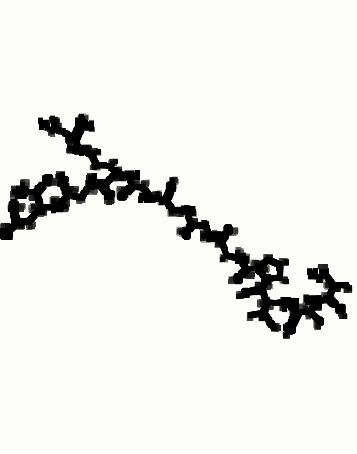 CC(C)[C@H](NC(=O)[C@H](C)NC(=O)[C@H](C)N)C(=O)N1CCC[C@H]1C(=O)NCC(=O)NCC(=O)NCC(=O)NCC(=O)N[C@@H](CCCNC(=N)N)C(=O)NCC(=O)N[C@@H](CC(=O)O)C(=O)O